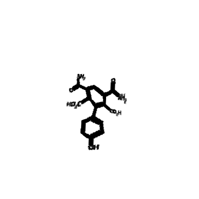 NC(=O)c1cc(C(N)=O)c(C(=O)O)c(-c2ccc(O)cc2)c1C(=O)O